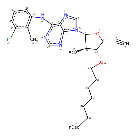 C#C[C@H]1O[C@@H](n2cnc3c(Nc4cccc(Cl)c4C)ncnc32)[C@H](OC(C)=O)[C@H]1OCCCCCCCCCCCCCCCC